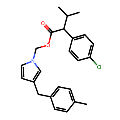 Cc1ccc(Cc2ccn(COC(=O)C(c3ccc(Cl)cc3)C(C)C)c2)cc1